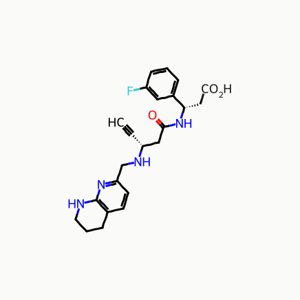 C#C[C@H](CC(=O)N[C@@H](CC(=O)O)c1cccc(F)c1)NCc1ccc2c(n1)NCCC2